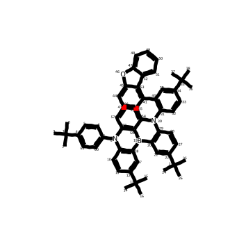 CC(C)(C)c1ccc(N2c3ccc(C(C)(C)C)cc3B3c4cc(C(C)(C)C)ccc4N(c4ccc(C(C)(C)C)cc4-c4cccc5oc6ccccc6c45)c4cccc2c43)cc1